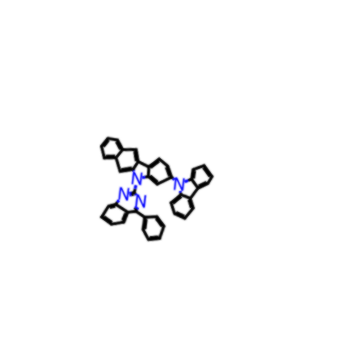 c1ccc(-c2nc(-n3c4cc(-n5c6ccccc6c6ccccc65)ccc4c4cc5ccccc5cc43)nc3ccccc23)cc1